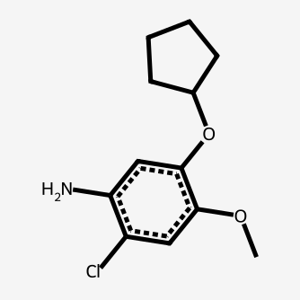 COc1cc(Cl)c(N)cc1OC1CCCC1